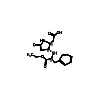 CCOC(=O)[C@H](Cc1ccccc1)N[C@@H]1CC(=O)N[C@H]1CC(=O)O